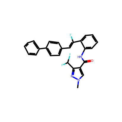 Cn1cc(C(=O)Nc2ccccc2/C(F)=C/c2ccc(-c3ccccc3)cc2)c(C(F)F)n1